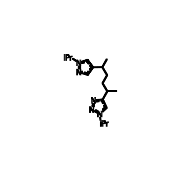 CC(CCC(C)c1cn(C(C)C)nn1)c1cnn(C(C)C)c1